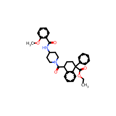 CCOC(=O)C1(c2ccccc2)CCC(C(=O)N2CCC(NC(=O)c3ccccc3OC)CC2)c2ccccc21